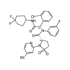 N#Cc1ccnc(N2[C@H](C(=O)N(c3cccc(F)c3)[C@H](C(=O)NC3CCC(F)(F)CC3)c3ccccc3Cl)CCS2(=O)=O)c1